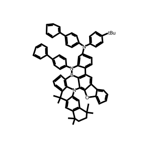 CC(C)(C)c1ccc(N(c2ccc(-c3ccccc3)cc2)c2ccc3c(c2)N(c2ccc(-c4ccccc4)cc2)B2c4cccc5c4N(c4cc6c(cc4C5(C)C)C(C)(C)CCC6(C)C)c4c2c-3cc2c4oc3ccccc32)cc1